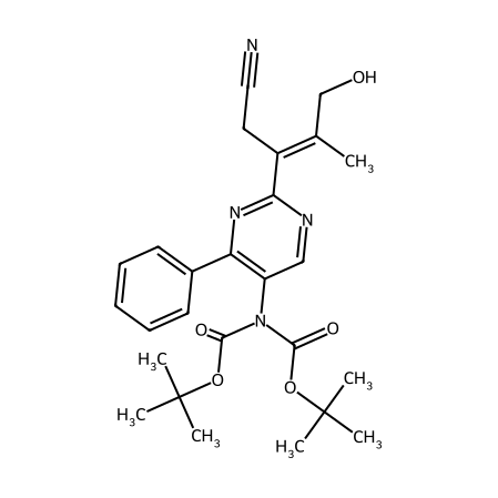 C/C(CO)=C(/CC#N)c1ncc(N(C(=O)OC(C)(C)C)C(=O)OC(C)(C)C)c(-c2ccccc2)n1